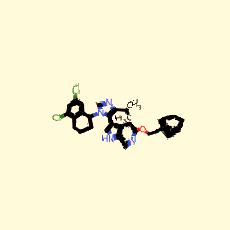 CC(C)c1ncn(C2CCCc3c(Cl)cc(Cl)cc32)c1-c1c[nH]c2cnc(OCc3ccccc3)cc12